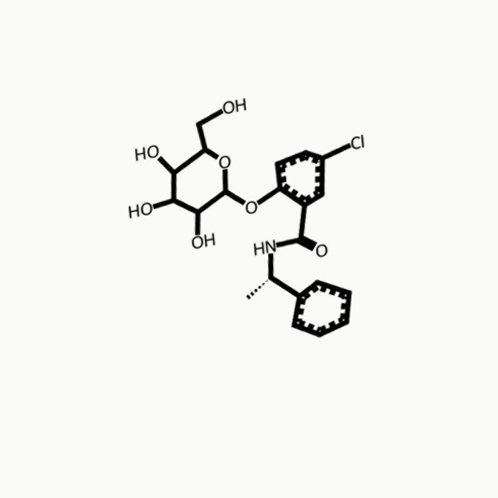 C[C@H](NC(=O)c1cc(Cl)ccc1OC1OC(CO)C(O)C(O)C1O)c1ccccc1